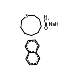 C1CCCCSCCC1.C=O.[NaH].c1ccc2ccccc2c1